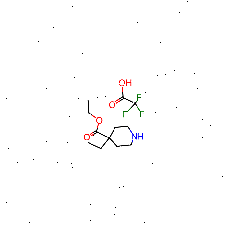 CCOC(=O)C1(CC)CCNCC1.O=C(O)C(F)(F)F